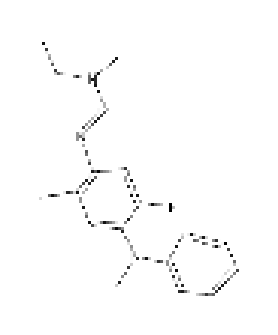 CCN(C)/C=N/c1cc(F)c(N(C)c2ccccc2)cc1C